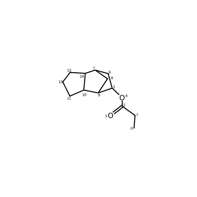 CCC(=O)OC1CC2CC1C1CCCC21